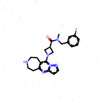 CN(Cc1cccc(F)c1)C(=O)C1CN(c2c3c(nc4ccnn24)CCNCC3)C1